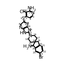 Nc1nccc(Sc2cnc3[nH]c(N4CCC5(CC4)Cc4ccc(Br)cc4[C@H]5N)nc3n2)c1Cl